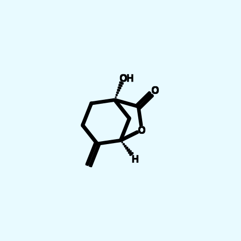 C=C1CC[C@]2(O)C[C@H]1OC2=O